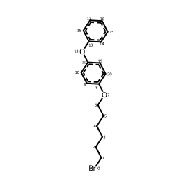 BrCCCCCCOc1ccc(Oc2ccccc2)cc1